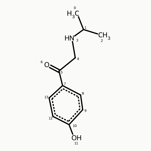 CC(C)NCC(=O)c1ccc(O)cc1